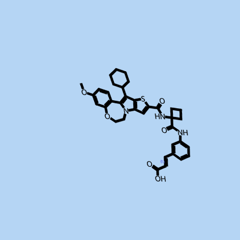 COc1ccc2c(c1)OCCn1c-2c(C2CCCCC2)c2sc(C(=O)NC3(C(=O)Nc4cccc(/C=C/C(=O)O)c4)CCC3)cc21